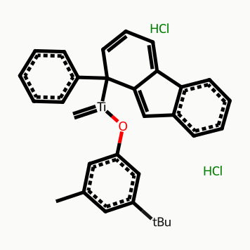 Cl.Cl.[CH2]=[Ti]([O]c1cc(C)cc(C(C)(C)C)c1)[C]1(c2ccccc2)C=CC=C2C1=Cc1ccccc12